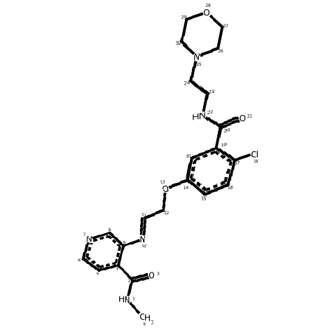 CNC(=O)c1ccncc1/N=C/COc1ccc(Cl)c(C(=O)NCCN2CCOCC2)c1